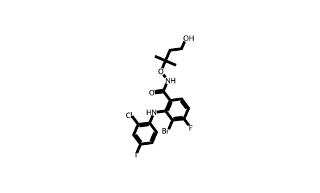 CC(C)(CCO)ONC(=O)c1ccc(F)c(Br)c1Nc1ccc(I)cc1Cl